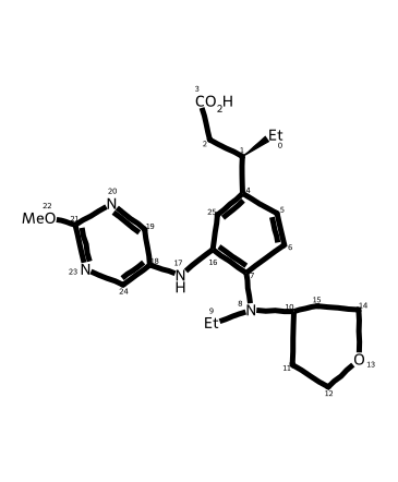 CC[C@H](CC(=O)O)c1ccc(N(CC)C2CCOCC2)c(Nc2cnc(OC)nc2)c1